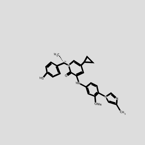 COc1cc(Nc2cc(C3CC3)cn([C@@H](C)c3ccc(S)cc3)c2=O)ccc1-n1cnc(C)c1